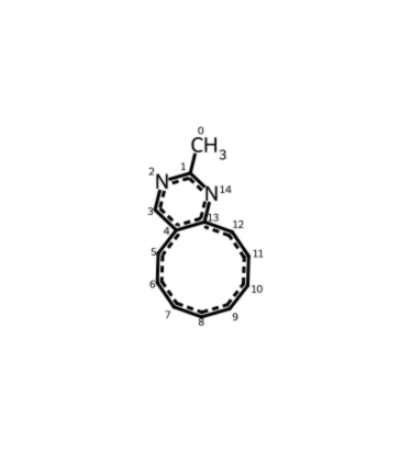 Cc1ncc2ccccccccc2n1